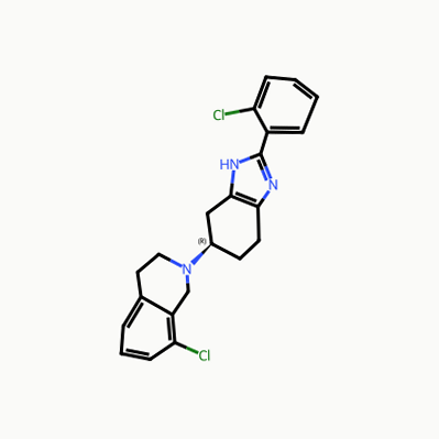 Clc1ccccc1-c1nc2c([nH]1)C[C@H](N1CCc3cccc(Cl)c3C1)CC2